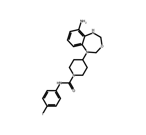 Nc1cccc2c1NCOCN2C1CCN(C(=O)Nc2ccc(I)cc2)CC1